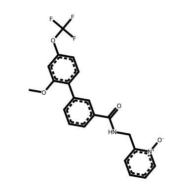 COc1cc(OC(F)(F)F)ccc1-c1cccc(C(=O)NCc2cccc[n+]2[O-])c1